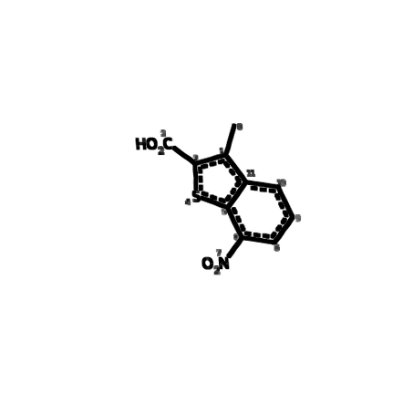 Cc1c(C(=O)O)sc2c([N+](=O)[O-])cccc12